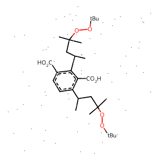 CC(CC(C)(C)OOC(C)(C)C)c1ccc(C(=O)O)c(C(C)CC(C)(C)OOC(C)(C)C)c1C(=O)O